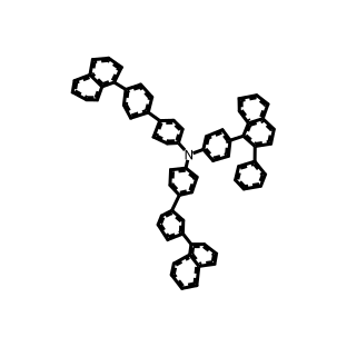 c1ccc(-c2ccc3ccccc3c2-c2ccc(N(c3ccc(-c4ccc(-c5cccc6ccccc56)cc4)cc3)c3ccc(-c4cccc(-c5cccc6ccccc56)c4)cc3)cc2)cc1